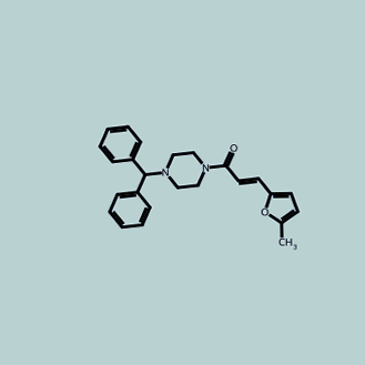 Cc1ccc(/C=C/C(=O)N2CCN(C(c3ccccc3)c3ccccc3)CC2)o1